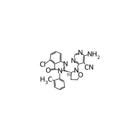 Cc1ccccc1-n1c([C@@H]2CCON2c2ncnc(N)c2C#N)nc2cccc(Cl)c2c1=O